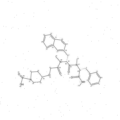 CNC(=O)[C@@H](Cc1ccccc1)N(C)C(=O)[C@@H](Cc1ccc2ccccc2c1)N(C)C(=O)COC1CCN(C(=O)O)CC1